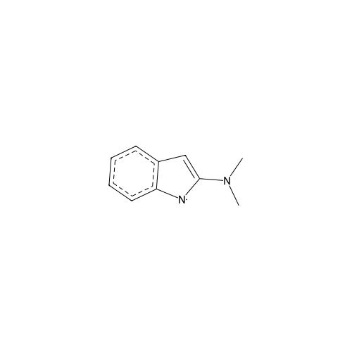 CN(C)C1=Cc2ccccc2[N]1